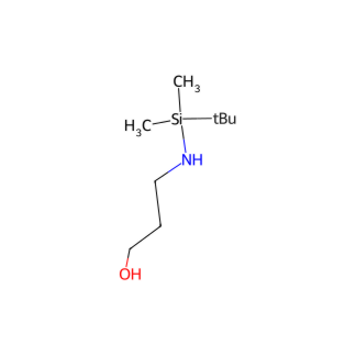 CC(C)(C)[Si](C)(C)NCCCO